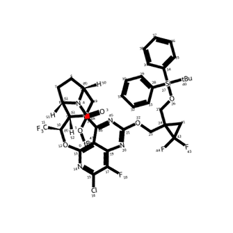 CC(C)(C)OC(=O)N1[C@@H]2CC[C@H]1[C@H]1[C@H](C(F)(F)F)Oc3nc(Cl)c(F)c4nc(OCC5(CO[Si](c6ccccc6)(c6ccccc6)C(C)(C)C)CC5(F)F)nc(c34)N1C2